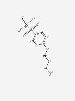 O=S(=O)(c1ccc(CNCCS)cn1)C(F)(F)F